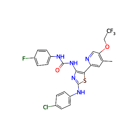 Cc1cc(-c2sc(Nc3ccc(Cl)cc3)nc2NC(=O)Nc2ccc(F)cc2)ncc1OCC(F)(F)F